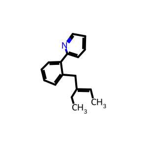 C/C=C(\CC)Cc1ccccc1-c1ccccn1